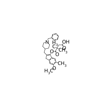 COc1cc2c(cc1C)C(OC(=O)C(C)(C)CC(=O)O)=C(CC1CCN(Cc3ccccc3)CC1)C2